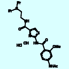 COc1cc(NC(C)=O)ccc1C(=O)Nc1nc(C(=O)NCCN(C(C)C)C(C)C)cs1.Cl.Cl